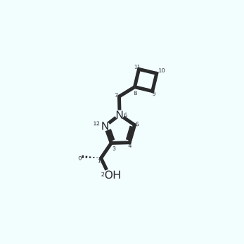 C[C@@H](O)c1ccn(CC2CCC2)n1